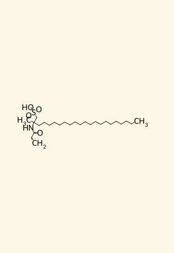 C=CC(=O)NC(C)(CCCCCCCCCCCCCCCCCCCC)CS(=O)(=O)O